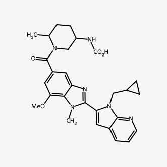 COc1cc(C(=O)N2CC(NC(=O)O)CCC2C)cc2nc(-c3cc4cccnc4n3CC3CC3)n(C)c12